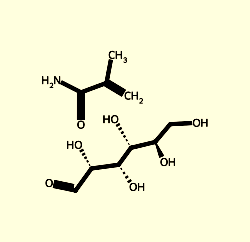 C=C(C)C(N)=O.O=C[C@H](O)[C@@H](O)[C@H](O)[C@H](O)CO